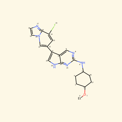 CCOC1CCC(Nc2ncc3c(-c4cc(F)c5nccn5c4)c[nH]c3n2)CC1